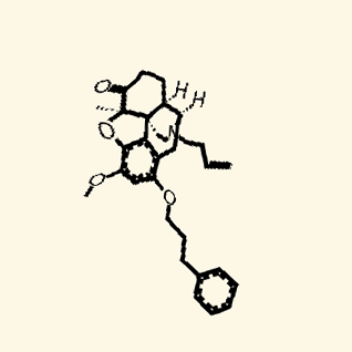 C=CCN1CC[C@]23c4c5c(OCCCc6ccccc6)cc(OC)c4O[C@@]2(C)C(=O)CC[C@H]3[C@H]1C5